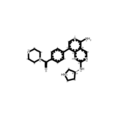 Nc1ncc(-c2ccc(C(=O)N3CCOCC3)cc2)c2nc(N[C@@H]3CCNC3)ncc12